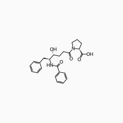 O=C(N[C@@H](Cc1ccccc1)[C@H](O)CCC(=O)N1CCC[C@H]1C(=O)O)c1ccccc1